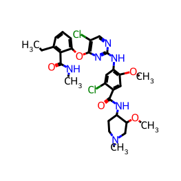 CCc1cccc(Oc2nc(Nc3cc(Cl)c(C(=O)NC4CCN(C)CC4OC)cc3OC)ncc2Cl)c1C(=O)NC